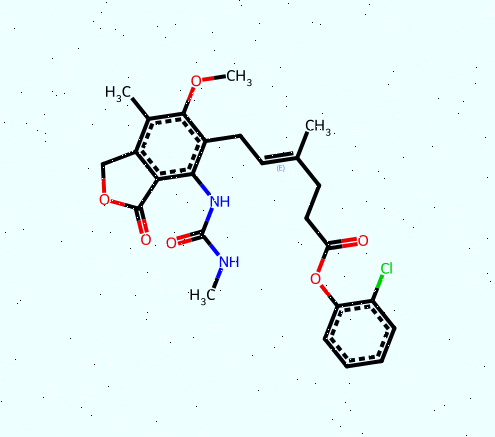 CNC(=O)Nc1c(C/C=C(\C)CCC(=O)Oc2ccccc2Cl)c(OC)c(C)c2c1C(=O)OC2